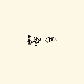 CC(=O)N1CCC(COc2cnc(-c3ccn[nH]3)c(F)c2)CC1